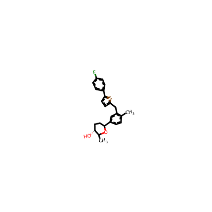 Cc1ccc(C2CC[C@@H](O)C(C)O2)cc1Cc1ccc(-c2ccc(F)cc2)s1